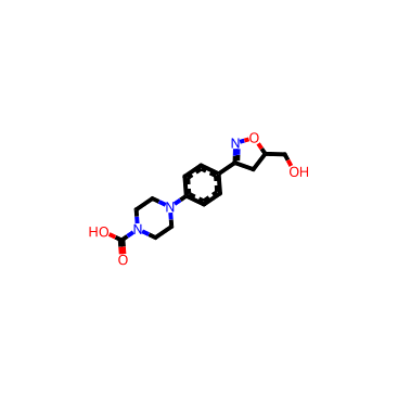 O=C(O)N1CCN(c2ccc(C3=NOC(CO)C3)cc2)CC1